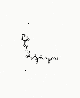 C=CC(=O)OCCOC(=O)CCC(=O)OCCNC(=O)O